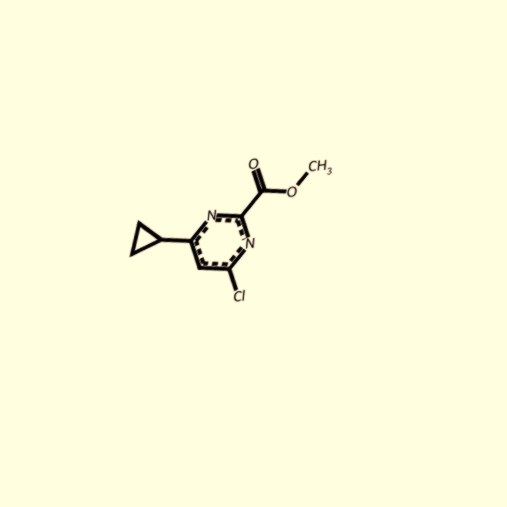 COC(=O)c1nc(Cl)cc(C2CC2)n1